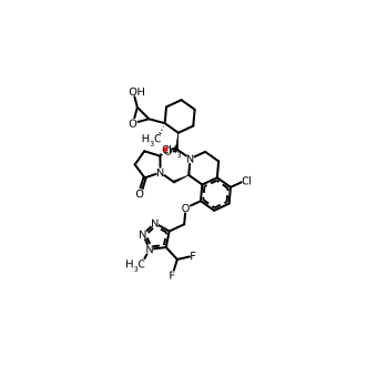 C[C@@H]1CCC(=O)N1C[C@@H]1c2c(OCc3nnn(C)c3C(F)F)ccc(Cl)c2CCN1C(=O)[C@@H]1CCCC[C@]1(C)C1OC1O